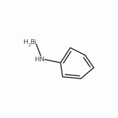 [BiH2][NH]c1ccccc1